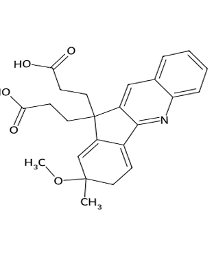 COC1(C)C=C2C(=CC1)c1nc3ccccc3cc1C2(CCC(=O)O)CCC(=O)O